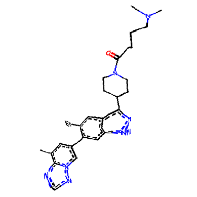 CCc1cc2c(C3CCN(C(=O)CCCN(C)C)CC3)n[nH]c2cc1-c1cc(C)c2ncnn2c1